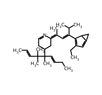 CC=CC(C)(C)C(C)(C=CCC)C1CC=N/C(=C(C)/C=C(/C2=C(CC)C=C3CC32)C(C)C)C1